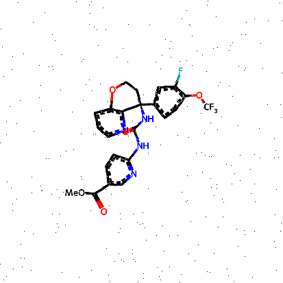 COC(=O)c1ccc(NC(=O)N[C@]2(c3ccc(OC(F)(F)F)c(F)c3)CCOc3cccnc32)nc1